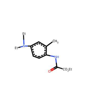 CCOC(=O)C(=O)Nc1ccc(N(CC)CC)cc1C